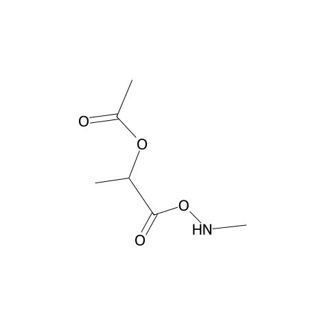 CNOC(=O)C(C)OC(C)=O